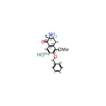 COc1c(OCc2ccccc2)ccc2c1CCC(C)(N)C2=O.Cl